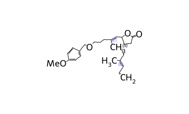 C=C/C=C(\C)CC[C@H]1CC(=O)OC1/C=C(\C)CCCOCc1ccc(OC)cc1